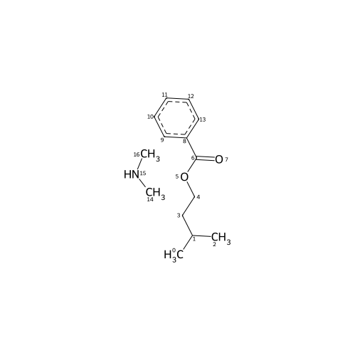 CC(C)CCOC(=O)c1ccccc1.CNC